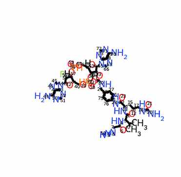 CC(C)[C@H](NC(=O)CN=[N+]=[N-])C(=O)N[C@@H](CCCNC(N)=O)C(=O)Nc1ccc(CNC(=O)O[C@@H]2[C@@H]3O[PH](=O)OCC4O[C@@H](n5cnc6c(N)ncnc65)[C@H](F)[C@@H]4O[PH](=O)OC[C@H]3O[C@H]2n2cnc3c(N)ncnc32)cc1